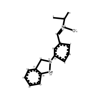 CC(C)[N+]([O-])=Cc1cccc(N2Cc3ccccc3[Se]2)c1